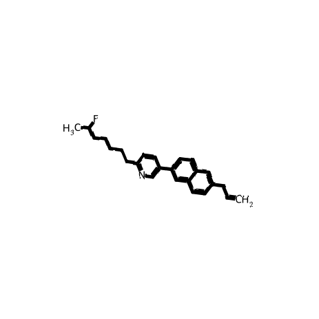 C=CCc1ccc2cc(-c3ccc(CCCCCC(C)F)nc3)ccc2c1